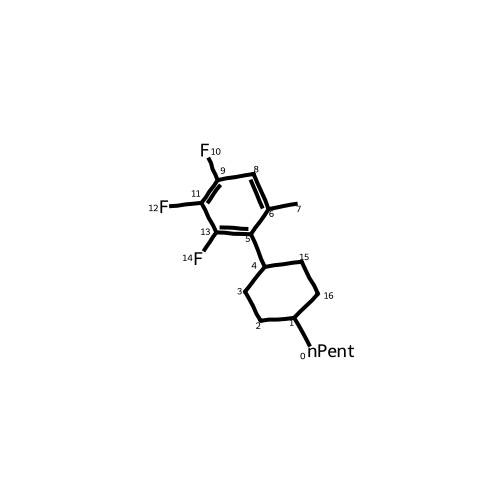 CCCCCC1CCC(c2c(C)cc(F)c(F)c2F)CC1